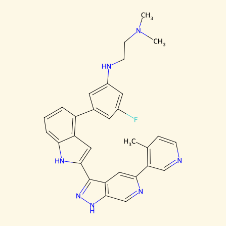 Cc1ccncc1-c1cc2c(-c3cc4c(-c5cc(F)cc(NCCN(C)C)c5)cccc4[nH]3)n[nH]c2cn1